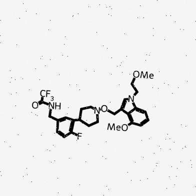 COCCn1cc(CON2CCC(c3cc(CNC(=O)C(F)(F)F)ccc3F)CC2)c2c(OC)cccc21